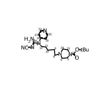 CC(C)(C)OC(=O)N1CCN(CCCCCN(C(N)=NC#N)c2ccncc2)CC1